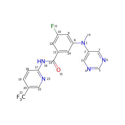 CN(c1cncnc1)c1cc(F)cc(C(=O)Nc2ccc(C(F)(F)F)cn2)c1